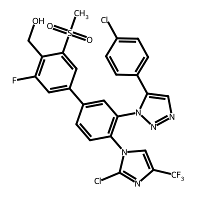 CS(=O)(=O)c1cc(-c2ccc(-n3cc(C(F)(F)F)nc3Cl)c(-n3nncc3-c3ccc(Cl)cc3)c2)cc(F)c1CO